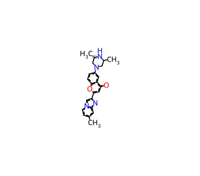 Cc1ccn2cc(-c3cc(=O)c4cc(N5CC(C)N[C@@H](C)C5)ccc4o3)nc2c1